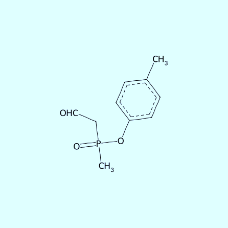 Cc1ccc(OP(C)(=O)CC=O)cc1